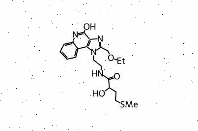 CCOCc1nc2c(O)nc3ccccc3c2n1CCNC(=O)C(O)CCSC